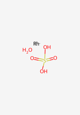 O.O=S(=O)(O)O.[Rh]